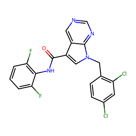 O=C(Nc1c(F)cccc1F)c1cn(Cc2ccc(Cl)cc2Cl)c2ncncc12